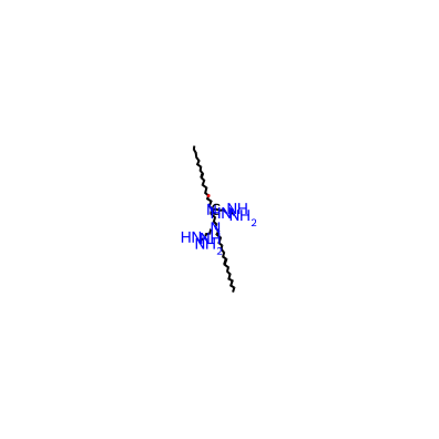 CCCCCCCC/C=C/CCCCCCCCN(CCCCN(CCCCCCCC/C=C/CCCCCCCC)CCCNC(=N)N)CCCNC(=N)N